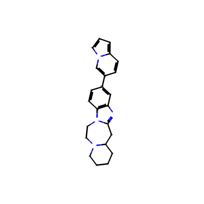 c1cc2ccc(-c3ccc4c(c3)nc3n4CCN4CCCCC4C3)cn2c1